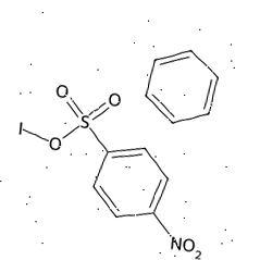 O=[N+]([O-])c1ccc(S(=O)(=O)OI)cc1.c1ccccc1